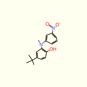 CN(c1cccc([N+](=O)[O-])c1)c1cc(C(C)(C)C)ccc1O